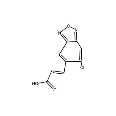 O=C(O)C=Cc1cc2nonc2cc1Cl